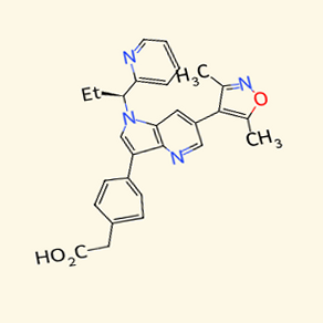 CC[C@@H](c1ccccn1)n1cc(-c2ccc(CC(=O)O)cc2)c2ncc(-c3c(C)noc3C)cc21